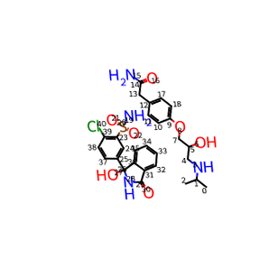 CC(C)NCC(O)COc1ccc(CC(N)=O)cc1.NS(=O)(=O)c1cc(C2(O)NC(=O)c3ccccc32)ccc1Cl